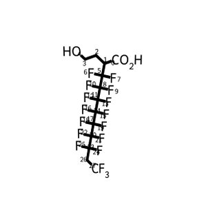 O=C(O)C(CCO)C(F)(F)C(F)(F)C(F)(F)C(F)(F)C(F)(F)C(F)(F)C(F)(F)CC(F)(F)F